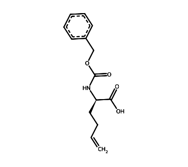 C=CCC[C@@H](NC(=O)OCc1ccccc1)C(=O)O